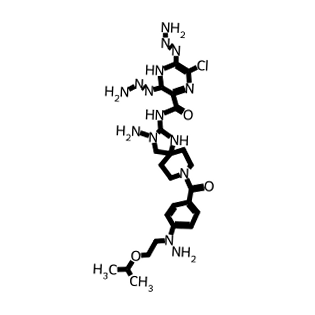 CC(C)OCCN(N)c1ccc(C(=O)N2CCC3(CC2)CN(N)C(NC(=O)C2=NC(Cl)=C(N=NN)NC2N=NN)N3)cc1